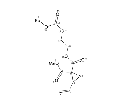 C=CC1CC1(C(=O)OC)C(=O)OCCNC(=O)OC(C)(C)C